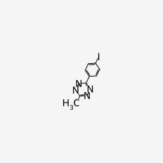 Cc1nnc(-c2ccc(I)cc2)nn1